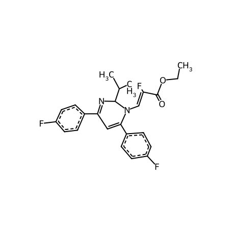 CCOC(=O)C(F)=CN1C(c2ccc(F)cc2)=CC(c2ccc(F)cc2)=NC1C(C)C